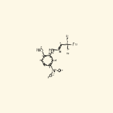 O=[N+]([O-])c1ccc(O)c(NC=CC(F)(F)F)c1